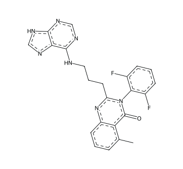 Cc1cccc2nc(CCCNc3ncnc4[nH]cnc34)n(-c3c(F)cccc3F)c(=O)c12